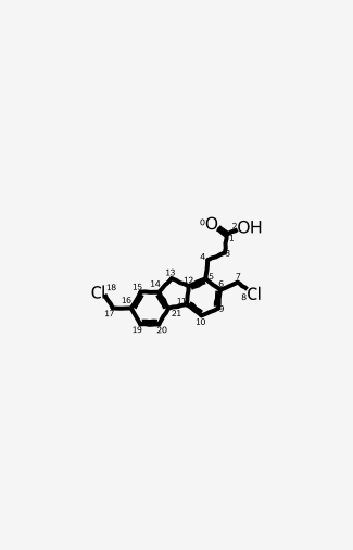 O=C(O)CCc1c(CCl)ccc2c1Cc1cc(CCl)ccc1-2